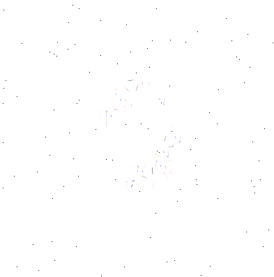 CC(C)N(C[C@H]1C[C@H](Oc2ccc(N3C(=S)N(c4cnc(C#N)c(C(F)(F)F)c4)C(=O)C34CCC4)cn2)C1)[C@H]1C[C@H](Oc2ccc3c(c2)C(=O)N(C2CCC(=O)NC2=O)C3=O)C1